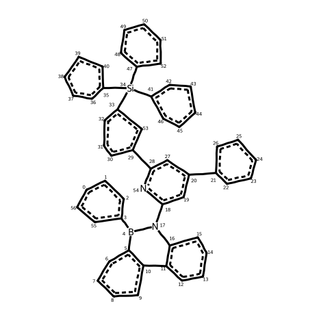 c1ccc(B2c3ccccc3-c3ccccc3N2c2cc(-c3ccccc3)cc(-c3cccc([Si](c4ccccc4)(c4ccccc4)c4ccccc4)c3)n2)cc1